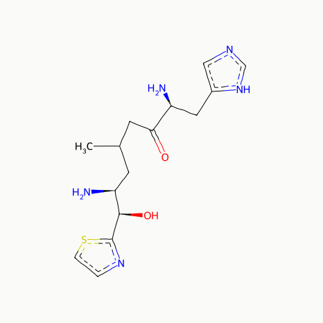 CC(CC(=O)[C@@H](N)Cc1cnc[nH]1)C[C@H](N)[C@@H](O)c1nccs1